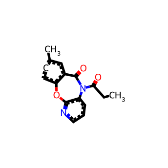 CCC(=O)N1C(=O)c2cc(C)ccc2Oc2ncccc21